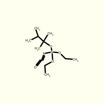 CCO[Si](N=C=O)(OCC)OC(C)(C)C(C)C